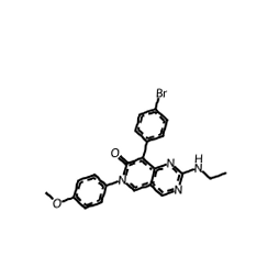 CCNc1ncc2cn(-c3ccc(OC)cc3)c(=O)c(-c3ccc(Br)cc3)c2n1